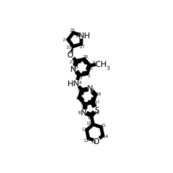 Cc1cc(Nc2cc3nc(C4CCOCC4)sc3cn2)nc(O[C@H]2CCNC2)c1